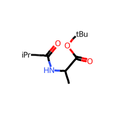 CC(C)C(=O)NC(C)C(=O)OC(C)(C)C